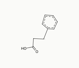 O=C(O)C[CH]c1ccccc1